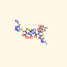 N#CCn1nnnc1SCC1=C(C(=O)O)N2C(=O)C(NC(=O)C(=NOC3(C(=O)O)CCC3)c3csc(N)n3)[C@@H]2SC1